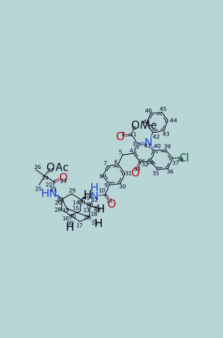 COC(=O)c1c(Cc2ccc(C(=O)N[C@H]3[C@@H]4C[C@H]5C[C@H]3C[C@](NC(=O)C(C)(C)OC(C)=O)(C5)C4)cc2)c(=O)c2ccc(Cl)cc2n1-c1ccccc1